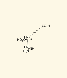 N=C(N)NCCC[C@H](NC(=O)CCCCCCCCC(=O)O)C(=O)O